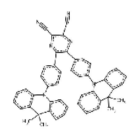 CC1(C)c2ccccc2N(c2ccc(-c3nc(C#N)c(C#N)nc3-c3ccc(N4c5ccccc5C(C)(C)c5ccccc54)cc3)cc2)c2ccccc21